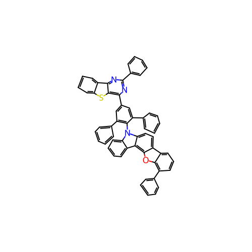 c1ccc(-c2nc(-c3cc(-c4ccccc4)c(-n4c5ccccc5c5c6oc7c(-c8ccccc8)cccc7c6ccc54)c(-c4ccccc4)c3)c3sc4ccccc4c3n2)cc1